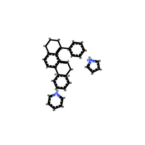 C1=c2c(ccc3c2=C(c2ccccc2)CCC3)-c2ccccc2C1.c1cc[nH]c1.c1ccncc1